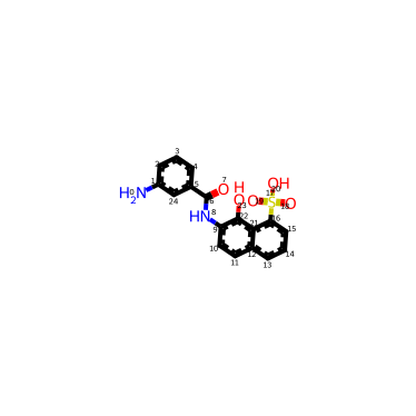 Nc1cccc(C(=O)Nc2ccc3cccc(S(=O)(=O)O)c3c2O)c1